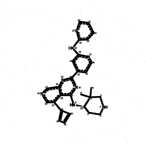 CC1(C)CNCC[C@@H]1Nc1nc(-c2ccnc(Nc3ccccn3)c2)nc2cncc(C3=CC=C3)c12